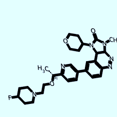 C[C@@H](OCCN1CCC(F)CC1)c1ccc(-c2ccc3c(c2)C2C(N=N3)N(C)C(=O)N2C2CCOCC2)cn1